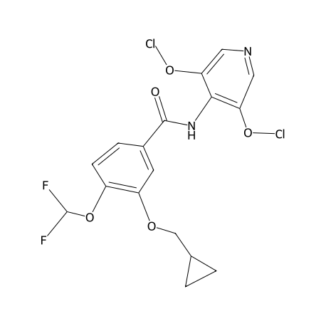 O=C(Nc1c(OCl)cncc1OCl)c1ccc(OC(F)F)c(OCC2CC2)c1